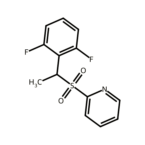 CC(c1c(F)cccc1F)S(=O)(=O)c1ccccn1